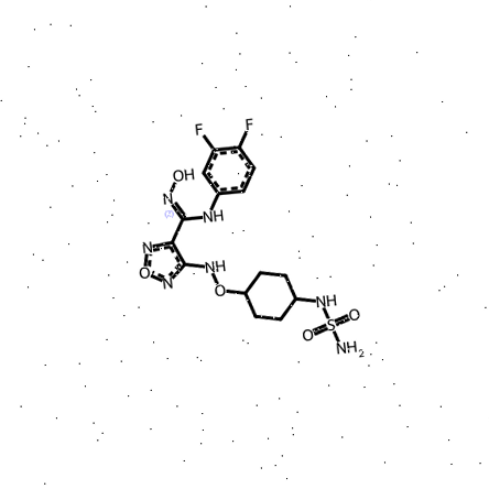 NS(=O)(=O)NC1CCC(ONc2nonc2/C(=N/O)Nc2ccc(F)c(F)c2)CC1